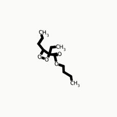 CCCCOC(=O)C1(CC)OOC1CCC